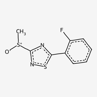 C[S+]([O-])c1nsc(-c2ccccc2F)n1